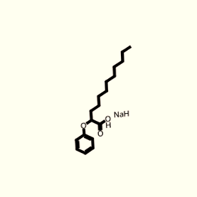 CCCCCCCCCCC(Oc1ccccc1)C(=O)O.[NaH]